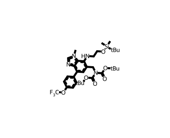 Cn1cnc2c(-c3ccc(OC(F)(F)F)cc3)cc(CN(C(=O)OC(C)(C)C)C(=O)OC(C)(C)C)c(NCCO[Si](C)(C)C(C)(C)C)c21